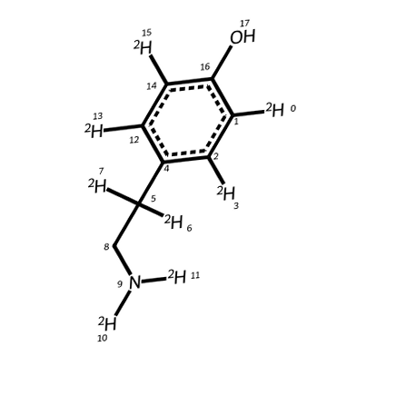 [2H]c1c([2H])c(C([2H])([2H])CN([2H])[2H])c([2H])c([2H])c1O